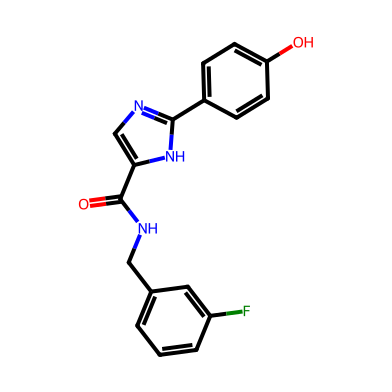 O=C(NCc1cccc(F)c1)c1cnc(-c2ccc(O)cc2)[nH]1